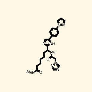 CNC(=O)CCCCCC(NC(=O)Cn1cncn1)c1ncc(-c2ccc(-n3cccn3)cc2)[nH]1